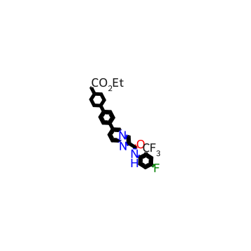 CCOC(=O)CC1CCC(c2ccc(-c3ccc4nc(C(=O)Nc5ccc(F)cc5C(F)(F)F)cn4c3)cc2)CC1